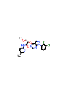 CCOC[C@H](Oc1ncnc2c1cnn2-c1cccc(Cl)c1Cl)C(=O)Nc1ccc(C#N)cn1